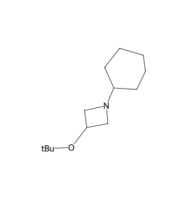 CC(C)(C)OC1CN(C2CCCCC2)C1